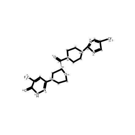 O=C([C@H]1CN(c2cc(C(F)(F)F)c(=O)[nH]n2)CCO1)N1CCN(c2ncc(C(F)(F)F)cn2)CC1